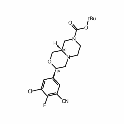 CC(C)(C)OC(=O)N1CCN2C[C@@H](c3cc(Cl)c(F)c(C#N)c3)OC[C@@H]2C1